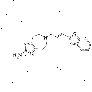 Nc1nc2c(s1)CCN(CC=Cc1cc3ccccc3s1)CC2